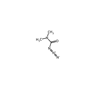 CN(C)C(=O)N=[N+]=[N-]